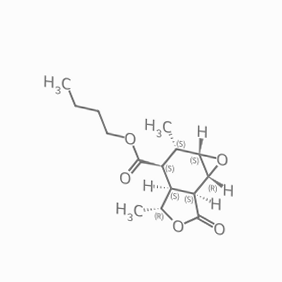 CCCCOC(=O)[C@H]1[C@H](C)[C@@H]2O[C@@H]2[C@H]2C(=O)O[C@H](C)[C@H]21